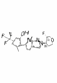 Cc1cc(C(F)(F)F)cc(O)c1-c1ccc2cn([C@@H]3CCOC[C@H]3F)nc2n1